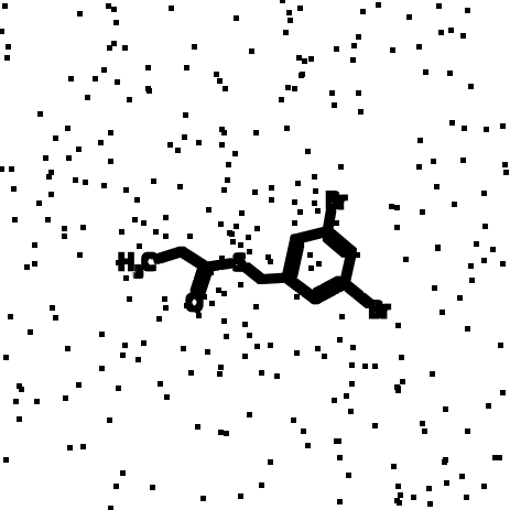 CCC(=O)SCc1cc(Br)cc(Br)c1